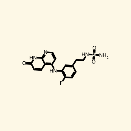 NS(=O)(=O)NCCc1ccc(F)c(Nc2ccnc3[nH]c(=O)ccc23)c1